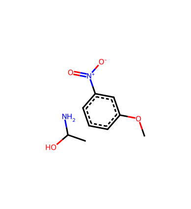 CC(N)O.COc1cccc([N+](=O)[O-])c1